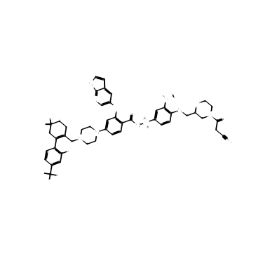 Cc1cc(C(F)(F)F)ccc1C1=C(CN2CCN(c3ccc(C(=O)NS(=O)(=O)c4ccc(NCC5CN(C(=O)CC#N)CCO5)c([N+](=O)[O-])c4)c(Oc4cnc5[nH]ccc5c4)c3)CC2)CCC(C)(C)C1